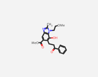 COCCn1c(C)nc2cc(C(=O)OC)c(CCC(=O)c3ccccc3)c(O)c21